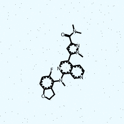 CN(C)C(=O)c1cc(-c2cnc(N(C)c3c(F)ccc4c3CCO4)c3cnccc23)n(C)n1